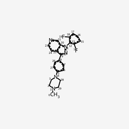 CN1CCN(c2ccc(-c3nn(-c4c(F)cccc4F)c4cnccc34)cc2)CC1